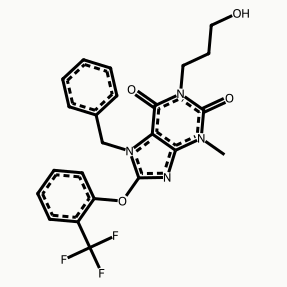 Cn1c(=O)n(CCCO)c(=O)c2c1nc(Oc1ccccc1C(F)(F)F)n2Cc1ccccc1